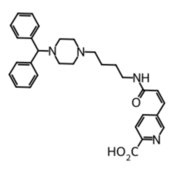 O=C(/C=C\c1ccc(C(=O)O)nc1)NCCCCN1CCN(C(c2ccccc2)c2ccccc2)CC1